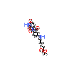 CC(C)(C)OC(=O)CCCCCCNc1ccc2c(c1)C(=O)N(C1CCC(=O)NC1=O)C2=O